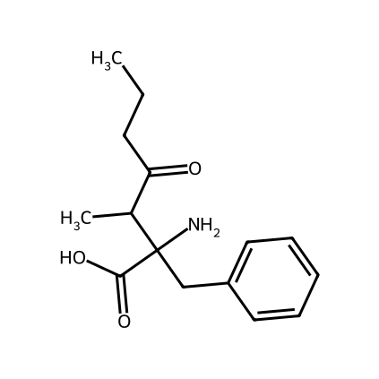 CCCC(=O)C(C)C(N)(Cc1ccccc1)C(=O)O